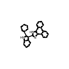 c1ccc(-c2[nH]c3ccccc3c2-c2nc3c4ccccc4c4ccccc4c3[nH]2)cc1